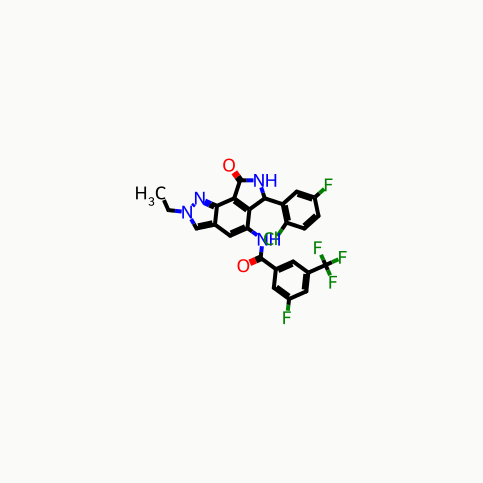 CCn1cc2cc(NC(=O)c3cc(F)cc(C(F)(F)F)c3)c3c(c2n1)C(=O)NC3c1cc(F)ccc1Cl